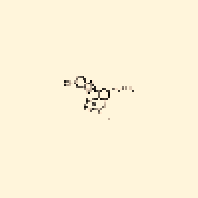 CCCc1cc(CC(C)C)c(O)c(-n2nc3ccc(Cl)cc3n2)c1